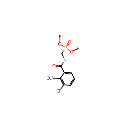 CCOP(=O)(CNC(=O)c1cccc(Cl)c1[N+](=O)[O-])OCC